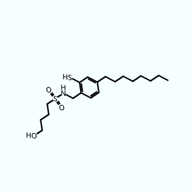 CCCCCCCCc1ccc(CNS(=O)(=O)CCCCO)c(S)c1